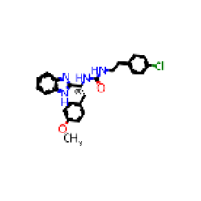 COc1ccc(C[C@@H](NC(=O)NCCc2ccc(Cl)cc2)c2nc3ccccc3[nH]2)cc1